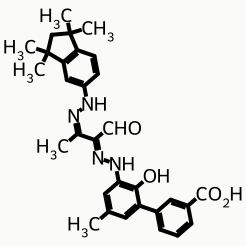 CC(=N/Nc1ccc2c(c1)C(C)(C)CC2(C)C)/C(C=O)=N/Nc1cc(C)cc(-c2cccc(C(=O)O)c2)c1O